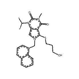 CC(C)n1c(=O)n(C)c(=O)c2c(SCCCO)n(Cc3cccc4ccccc34)cc21